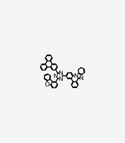 C1=Cc2nc3c4ccccc4c4cc(-c5nc(-c6ccc7c8ccccc8c8ccccc8c7c6)nc(-c6cccc7oc8ccccc8c67)n5)ccc4n3c2CC1